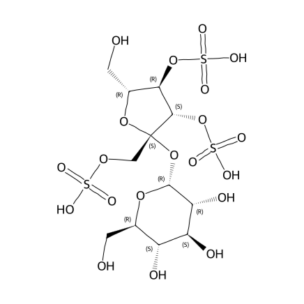 O=S(=O)(O)OC[C@@]1(O[C@H]2O[C@H](CO)[C@@H](O)[C@H](O)[C@H]2O)O[C@H](CO)[C@@H](OS(=O)(=O)O)[C@@H]1OS(=O)(=O)O